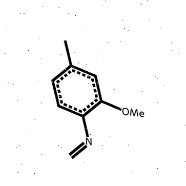 C=Nc1ccc(C)cc1OC